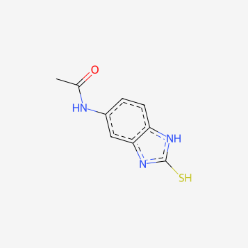 CC(=O)Nc1ccc2[nH]c(S)nc2c1